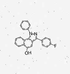 Oc1cc2c(-c3ccc(F)cc3)nn(-c3ccccc3)c2c2ccccc12